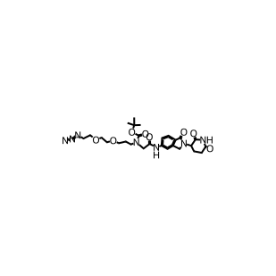 CC(C)(C)OC(=O)N(CCCOCCOCCN=[N+]=[N-])CC(=O)Nc1ccc2c(c1)CN(C1CCC(=O)NC1=O)C2=O